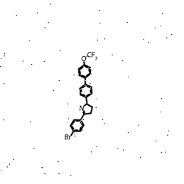 FC(F)(F)Oc1ccc(-c2ccc(C3CCC(c4ccc(Br)cc4)=N3)cc2)cc1